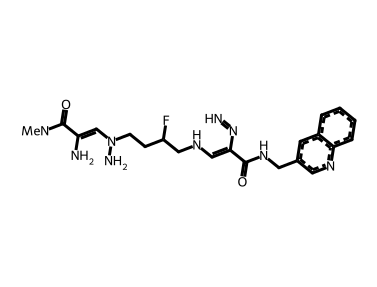 CNC(=O)/C(N)=C/N(N)CCC(F)CN/C=C(\N=N)C(=O)NCc1cnc2ccccc2c1